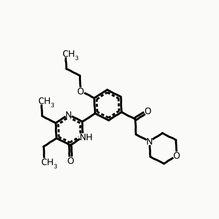 CCCOc1ccc(C(=O)CN2CCOCC2)cc1-c1nc(CC)c(CC)c(=O)[nH]1